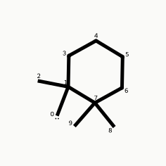 [CH]C1(C)CCCCC1(C)C